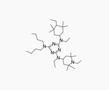 CCCCN(CCCC)c1nc(N(CC)C2CC(C)(C)C(CC)C(C)(C)C2)nc(N(CC)C2CC(C)(C)N(CC)C(C)(C)C2)n1